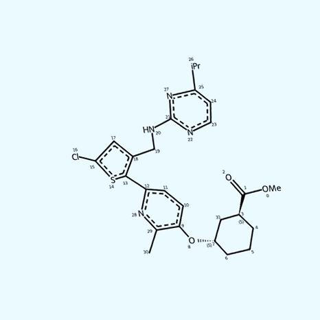 COC(=O)[C@H]1CCC[C@H](Oc2ccc(-c3sc(Cl)cc3CNc3nccc(C(C)C)n3)nc2C)C1